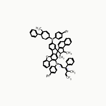 C=C/C(C)=C(\C=C\N(c1ccc(C(C)C)cc1)c1cc2c(c3oc4ccccc4c13)-c1ccc(N(C3=CCC(c4ccccc4)=C(C)C=C3)c3ccc(C(C)C)cc3)cc1C21c2ccc3ccccc3c2C(C)C1C)c1ccccc1